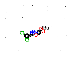 CC(C)(C)OC(=O)c1ccc(Oc2cc(-c3cc(Cl)cc(Cl)c3)n[nH]2)cc1